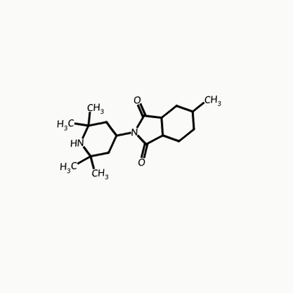 CC1CCC2C(=O)N(C3CC(C)(C)NC(C)(C)C3)C(=O)C2C1